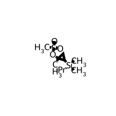 CC(C)[Si](C)(C)C1CC1(C)OS(C)(=O)=O